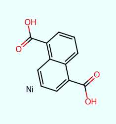 O=C(O)c1cccc2c(C(=O)O)cccc12.[Ni]